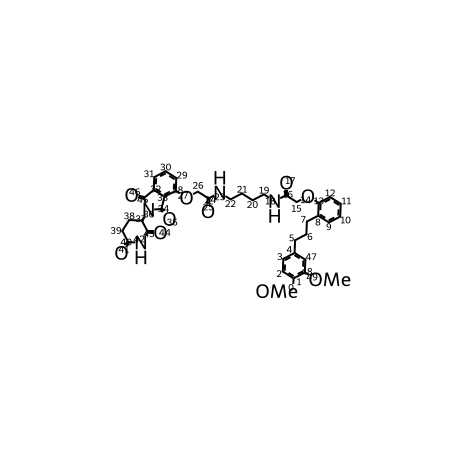 COc1ccc(CCCc2ccccc2OCC(=O)NCCCCNC(=O)COc2cccc3c2C(=O)N(C2CCC(=O)NC2=O)C3=O)cc1OC